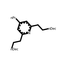 [CH2]CCc1cc(CCCCCCCCCCCC)nc(CCCCCCCCCCCC)c1